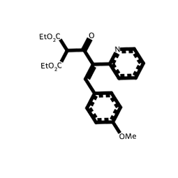 CCOC(=O)C(C(=O)OCC)C(=O)/C(=C/c1ccc(OC)cc1)c1ccccn1